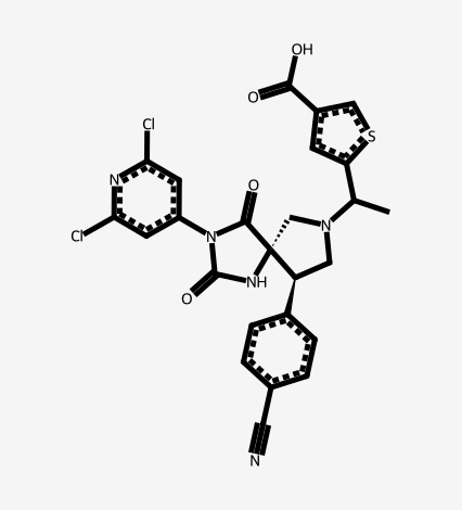 CC(c1cc(C(=O)O)cs1)N1C[C@@H](c2ccc(C#N)cc2)[C@@]2(C1)NC(=O)N(c1cc(Cl)nc(Cl)c1)C2=O